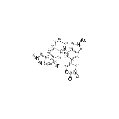 CC(=O)N1Cc2cc(C3=COC(=O)N(C)C3)cc(N3CCCc4cc(-c5cnn(C)c5)c(C(F)F)cc43)c2C1